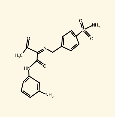 CC(=O)/C(=N/Cc1ccc(S(N)(=O)=O)cc1)C(=O)Nc1cccc(N)c1